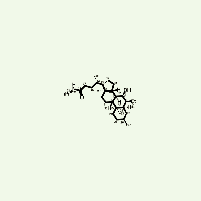 CC[C@@H]1[C@H](O)[C@H]2[C@@H](CC[C@]3(C)[C@@H]2CC[C@H]3[C@@H](C)CCC(=O)NC(C)C)[C@]2(C)CC[C@H](C)C[C@H]12